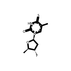 Cc1cn([C@H]2C[C@H](F)[C@@H](C)O2)c(=O)[nH]c1=S